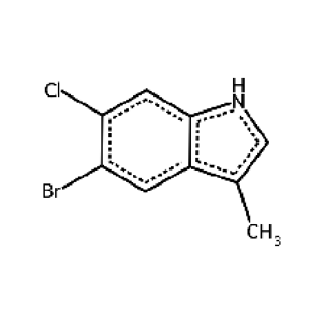 Cc1c[nH]c2cc(Cl)c(Br)cc12